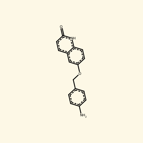 Nc1ccc(COc2ccc3[nH]c(=O)ccc3c2)cc1